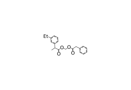 CCc1cccc(C(C)C(=O)OCOC(=O)Cc2ccccc2)c1